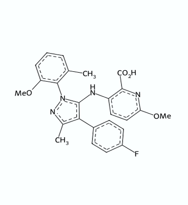 COc1ccc(Nc2c(-c3ccc(F)cc3)c(C)nn2-c2c(C)cccc2OC)c(C(=O)O)n1